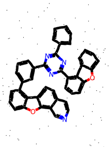 c1ccc(-c2nc(-c3cccc(-c4cccc5oc6c7cnccc7ccc6c45)c3)nc(-c3cccc4oc5ccccc5c34)n2)cc1